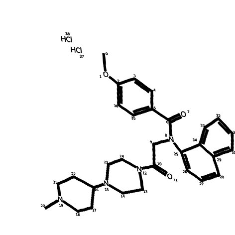 COc1ccc(C(=O)N(CC(=O)N2CCN(C3CCN(C)CC3)CC2)c2cccc3ccccc23)cc1.Cl.Cl